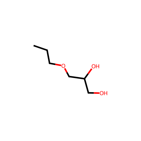 CCCOCC(O)CO